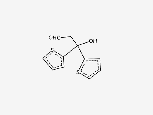 O=CCC(O)(c1cccs1)c1cccs1